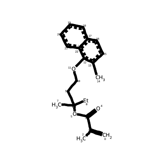 C=C(C)C(=O)OC(C)(CC)CCOc1c(C)ccc2ccccc12